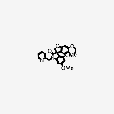 COc1cc(OC)c2c(c1)N(Cc1ccccn1)C(=O)C21COc2cc3c(cc21)OCCO3